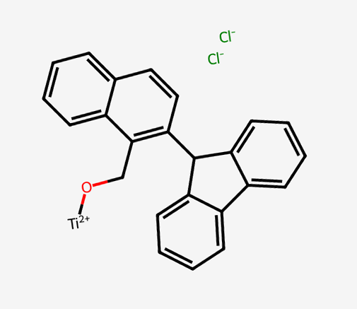 [Cl-].[Cl-].[Ti+2][O]Cc1c(C2c3ccccc3-c3ccccc32)ccc2ccccc12